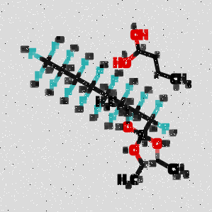 CCCC(O)O.CCO[Si](OCC)(OCC)C(F)(F)C(F)(F)C(F)(F)C(F)(F)C(F)(F)C(F)(F)C(F)(F)C(F)(F)F